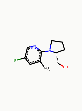 O=[N+]([O-])c1cc(Br)cnc1N1CCC[C@@H]1CO